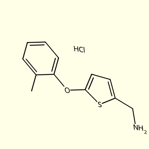 Cc1ccccc1Oc1ccc(CN)s1.Cl